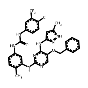 Cc1cc(Nc2nc(Nc3cc(NC(=O)Nc4ccc(Cl)c(C(F)(F)F)c4)ccc3C)ncc2OCc2ccccc2)n[nH]1